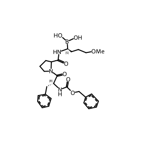 COCCC[C@@H](NC(=O)C1CCCN1C(=O)[C@@H](Cc1ccccc1)NC(=O)OCc1ccccc1)B(O)O